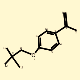 C=C(C)c1ccc(OCC(C)(C)C)cc1